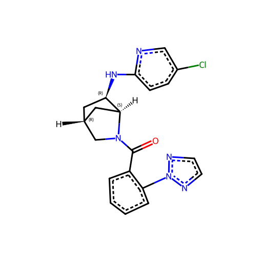 O=C(c1ccccc1-n1nccn1)N1C[C@@H]2C[C@@H](Nc3ccc(Cl)cn3)[C@@H]1C2